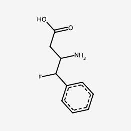 NC(CC(=O)O)C(F)c1ccccc1